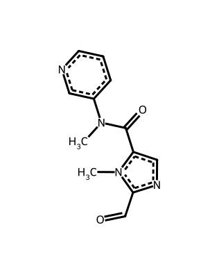 CN(C(=O)c1cnc(C=O)n1C)c1cccnc1